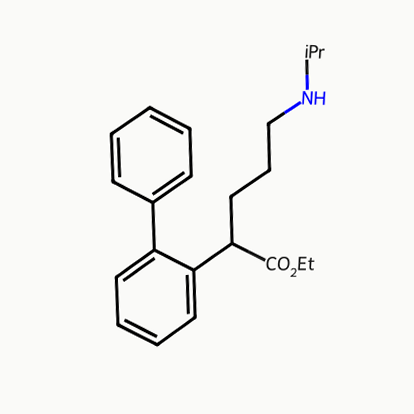 CCOC(=O)C(CCCNC(C)C)c1ccccc1-c1ccccc1